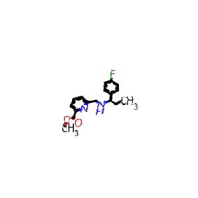 CC[C@@H](NCc1cccc(C(=O)OC)n1)c1ccc(F)cc1